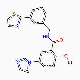 CCOc1ccc(-n2ccnc2)cc1C(=O)NCc1cccc(-c2nccs2)c1